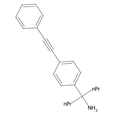 CCCC(N)(CCC)c1ccc(C#Cc2ccccc2)cc1